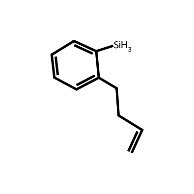 C=CCCc1ccccc1[SiH3]